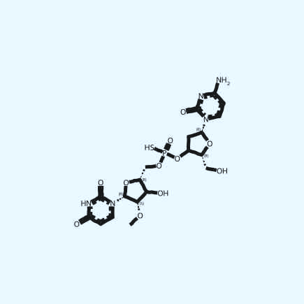 CO[C@H]1C(O)[C@@H](COP(=O)(S)OC2C[C@H](n3ccc(N)nc3=O)O[C@@H]2CO)O[C@H]1n1ccc(=O)[nH]c1=O